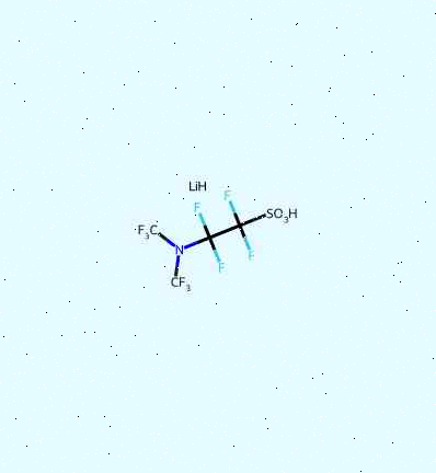 O=S(=O)(O)C(F)(F)C(F)(F)N(C(F)(F)F)C(F)(F)F.[LiH]